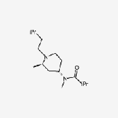 CC(C)CCN1CC[C@H](N(C)C(=O)C(C)C)C[C@H]1C